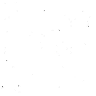 NCc1ncn([C@@H]2O[C@H](CO)C(O)C2O)n1